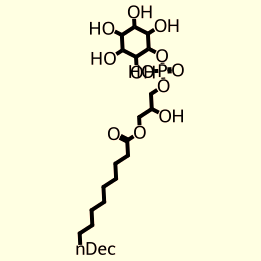 CCCCCCCCCCCCCCCCCCC(=O)OCC(O)COP(=O)(O)OC1C(O)C(O)C(O)C(O)C1O